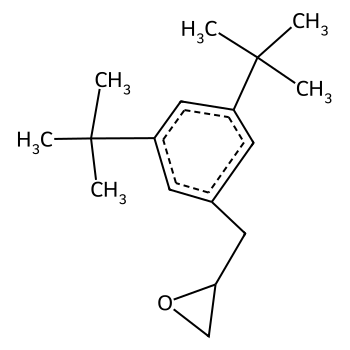 CC(C)(C)c1cc(CC2CO2)cc(C(C)(C)C)c1